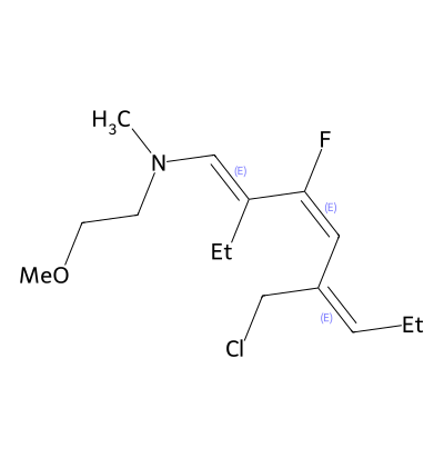 CC\C=C(/C=C(F)\C(=C\N(C)CCOC)CC)CCl